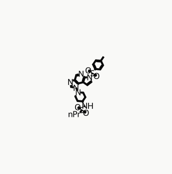 CCCS(=O)(=O)NC1CCN(n2cnc3cnc4c(ccn4S(=O)(=O)c4ccc(C)cc4)c32)CC1